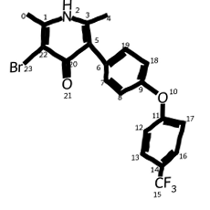 Cc1[nH]c(C)c(-c2ccc(Oc3ccc(C(F)(F)F)cc3)cc2)c(=O)c1Br